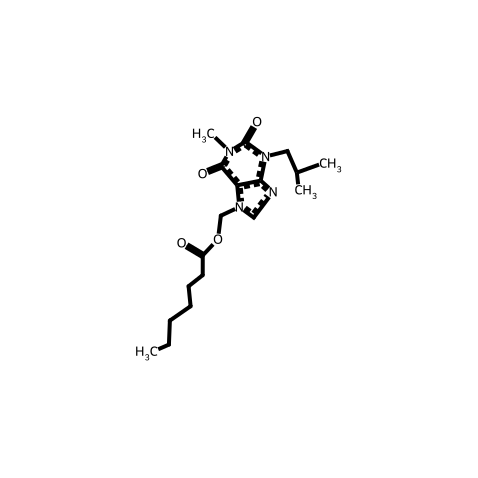 CCCCCCC(=O)OCn1cnc2c1c(=O)n(C)c(=O)n2CC(C)C